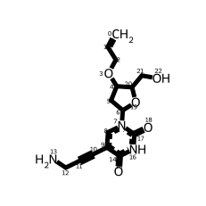 C=CCOC1CC(n2cc(C#CCN)c(=O)[nH]c2=O)OC1CO